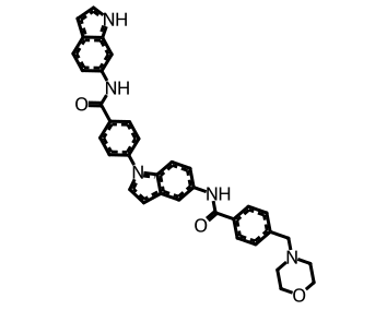 O=C(Nc1ccc2c(ccn2-c2ccc(C(=O)Nc3ccc4cc[nH]c4c3)cc2)c1)c1ccc(CN2CCOCC2)cc1